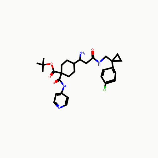 CC(C)(C)OC(=O)C1(C(=O)Nc2ccncc2)CCC(C(N)CC(=O)NCC2(c3ccc(Cl)cc3)CC2)CC1